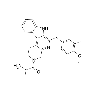 COc1ccc(Cc2nc3c(c4c2[nH]c2ccccc24)CCN(C(=O)C(C)N)C3)cc1F